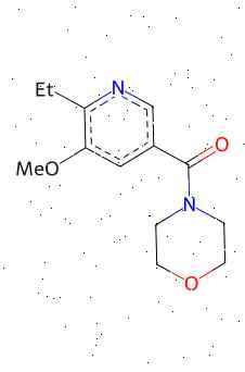 CCc1ncc(C(=O)N2CCOCC2)cc1OC